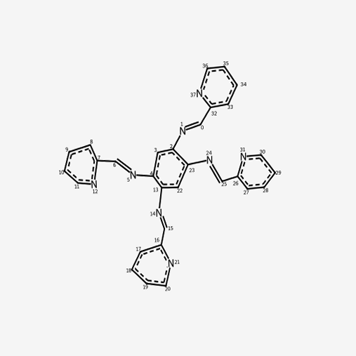 C(=Nc1cc(N=Cc2ccccn2)c(N=Cc2ccccn2)cc1N=Cc1ccccn1)c1ccccn1